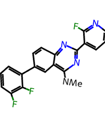 CNc1nc(-c2cccnc2F)nc2ccc(-c3cccc(F)c3F)cc12